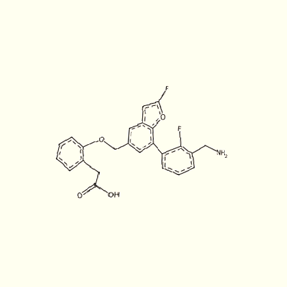 NCc1cccc(-c2cc(COc3ccccc3CC(=O)O)cc3cc(F)oc23)c1F